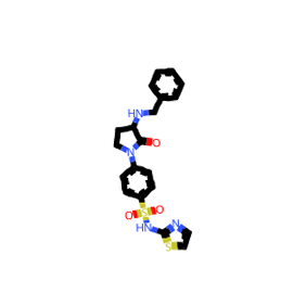 O=C1C(NCc2ccccc2)CCN1c1ccc(S(=O)(=O)Nc2nccs2)cc1